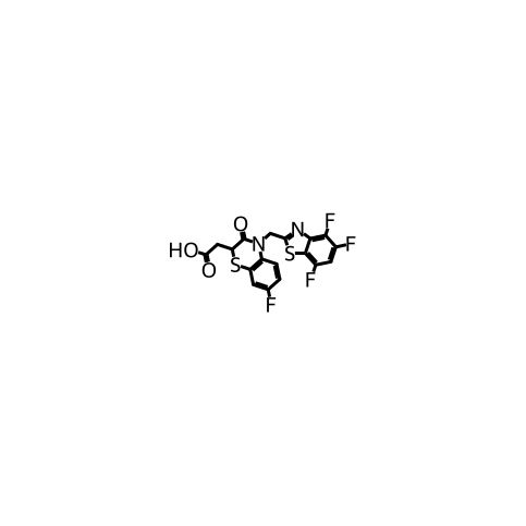 O=C(O)CC1Sc2cc(F)ccc2N(Cc2nc3c(F)c(F)cc(F)c3s2)C1=O